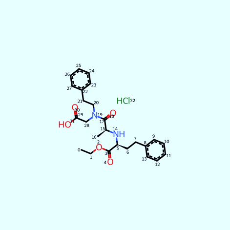 CCOC(=O)[C@H](CCc1ccccc1)N[C@@H](C)C(=O)N(CCc1ccccc1)CC(=O)O.Cl